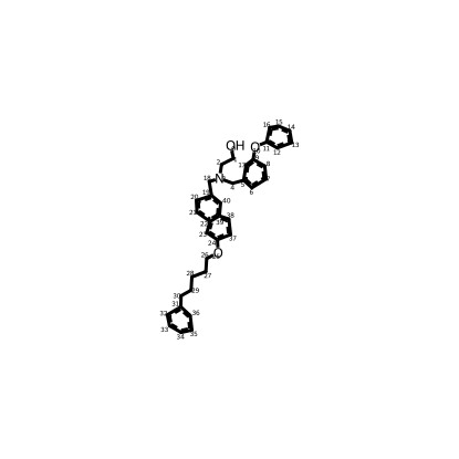 OCCN(Cc1cccc(Oc2ccccc2)c1)Cc1ccc2cc(OCCCCCc3ccccc3)ccc2c1